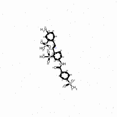 CS(=O)(=O)c1ccc(C(=O)Nc2ccc(/C=C/c3ccc(N)cc3S(=O)(=O)O)c(S(=O)(=O)O)c2)cc1